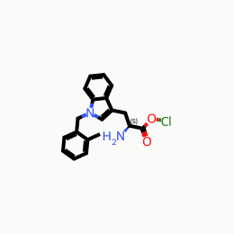 Cc1ccccc1Cn1cc(C[C@H](N)C(=O)OCl)c2ccccc21